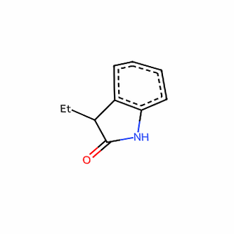 [CH2]CC1C(=O)Nc2ccccc21